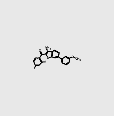 COc1cccc(-c2ccc3c(N)c(C(=O)c4ccc(F)cc4F)oc3c2)c1